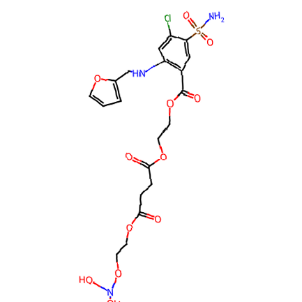 NS(=O)(=O)c1cc(C(=O)OCCOC(=O)CCC(=O)OCCON(O)O)c(NCc2ccco2)cc1Cl